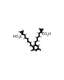 Cc1cc(C)c(CCCCCCC2(C(=O)O)CC2)c(CCCCCC2(C(=O)O)CC2)c1